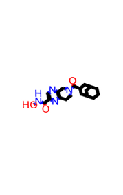 O=C(NO)c1cnc2c(n1)CCN(C(=O)C1CC3CCCC(C3)C1)C2